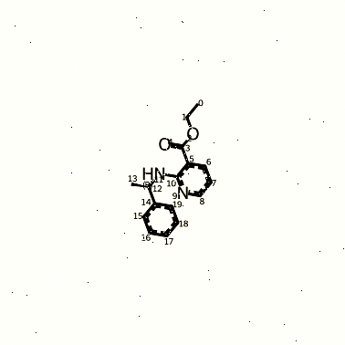 CCOC(=O)c1cccnc1N[C@H](C)c1ccccc1